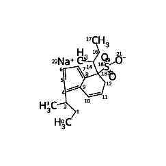 CCC(C)c1cccc2c1C=CCC2(C(C)CC)S(=O)(=O)[O-].[Na+]